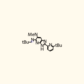 CNc1cc2nc(-c3cccc(C(C)(C)C)n3)[nH]c2nc1/N=C/C(C)(C)C